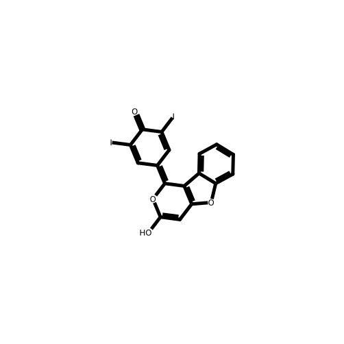 O=C1C(I)=CC(=C2OC(O)=Cc3oc4ccccc4c32)C=C1I